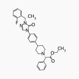 CCOC(=O)[C@H](c1ccccc1)N1CCC(c2ccc(-n3cnn([C@@H](C)c4ccccc4F)c3=O)cc2)CC1